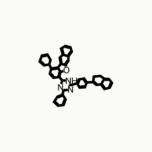 C1=CCC(c2ccc(C3N=C(c4ccccc4)N=C(c4ccc(C5=Cc6ccccc6CC5)cc4)N3)c3oc4cc5ccccc5cc4c23)C=C1